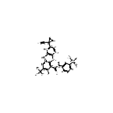 Cc1c(C(F)(F)F)nnc(Oc2ncc(C3(C#N)CC3)nc2F)c1C(=O)Nc1cccc(S(C)(=N)=O)c1